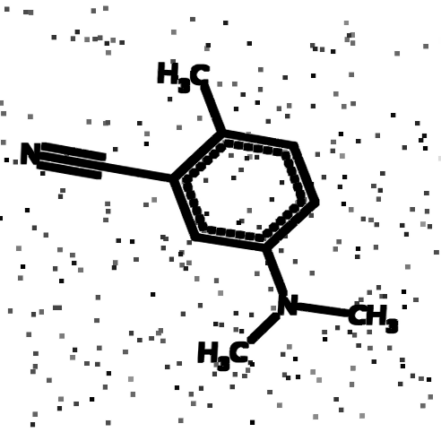 Cc1ccc(N(C)C)cc1C#N